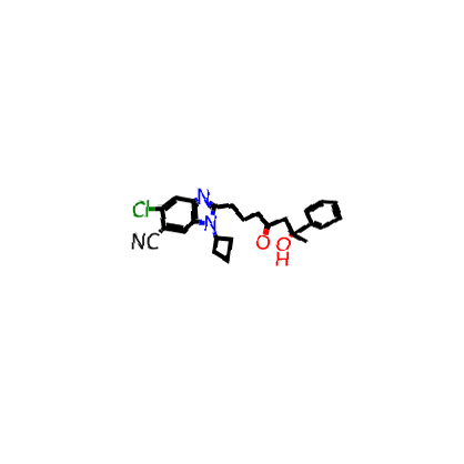 CC(O)(CC(=O)CCCc1nc2cc(Cl)c(C#N)cc2n1C1CCC1)c1ccccc1